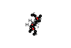 Cc1cc(-c2ccc(N(c3ccc(-c4ccc5sc6ccccc6c5c4)cc3)c3c(C)cccc3-c3cccc4c3sc3ccccc34)c(C)c2)ccc1N(c1ccc(-c2ccc3sc4ccccc4c3c2)cc1)c1c(C)cccc1-c1cccc2c1sc1ccccc12